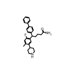 Cc1cc(F)c(C(CCCC(N)=O)c2ccc(-c3ccccc3)cc2)cc1C1CCNCC1